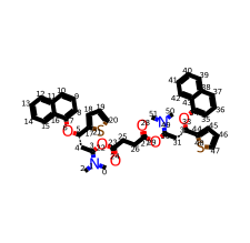 CN(C)C(C[C@H](Oc1cccc2ccccc12)c1cccs1)OC(=O)CCC(=O)OC(C[C@H](Oc1cccc2ccccc12)c1cccs1)N(C)C